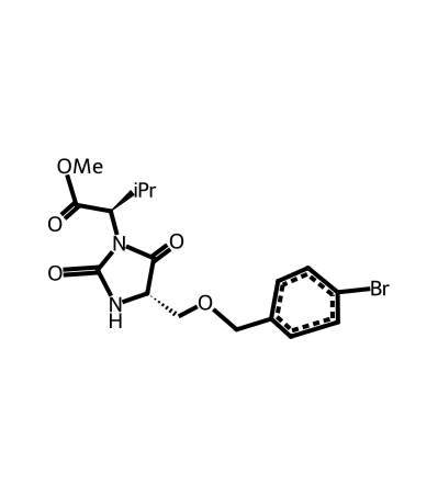 COC(=O)[C@@H](C(C)C)N1C(=O)N[C@@H](COCc2ccc(Br)cc2)C1=O